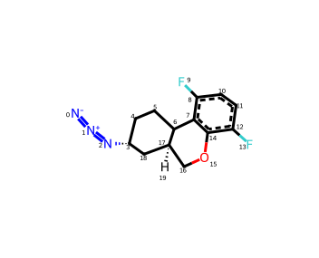 [N-]=[N+]=N[C@@H]1CCC2c3c(F)ccc(F)c3OC[C@H]2C1